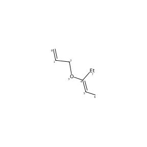 C=CCO/C(=C/C)CC